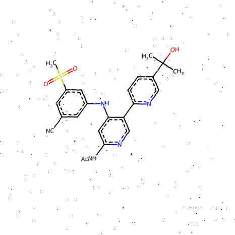 CC(=O)Nc1cc(Nc2cc(C#N)cc(S(C)(=O)=O)c2)c(-c2ccc(C(C)(C)O)cn2)cn1